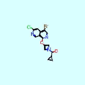 O=C(C1CC1)N1CC(Oc2ncc(Br)c3cc(Cl)ncc23)C1